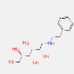 OC[C@@H](O)[C@@H](O)[C@H](O)[C@@H](O)CNCCc1ccccc1